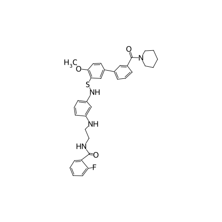 COc1ccc(-c2cccc(C(=O)N3CCCCC3)c2)cc1SNc1cccc(NCCNC(=O)c2ccccc2F)c1